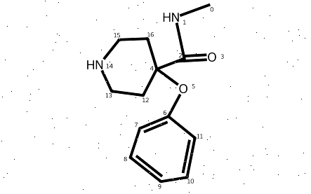 CNC(=O)C1(Oc2ccccc2)CCNCC1